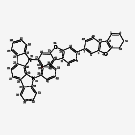 C1=Cc2c(oc3cc(-c4ccc5c(c4)oc4cc(-n6c7ccccc7c7ccc8c9ccccc9n(-c9ccccc9)c8c76)ccc45)ccc23)CC1